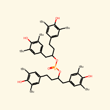 CC(C)(C)c1cc(CCC(Cc2cc(C(C)(C)C)c(O)c(C(C)(C)C)c2)O[PH](=O)OC(CCc2cc(C(C)(C)C)c(O)c(C(C)(C)C)c2)Cc2cc(C(C)(C)C)c(O)c(C(C)(C)C)c2)cc(C(C)(C)C)c1O